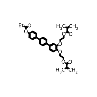 C=C(C)C(=O)OCCOc1ccc(-c2ccc(-c3ccc(OC(=O)CC)cc3)cc2)cc1OCCOC(=O)C(=C)C